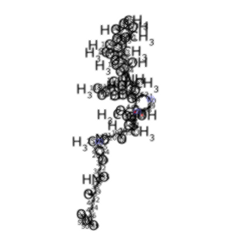 COC(=O)CC1=C2/C(=C/CSSC(C)(C)CCC(=O)CCCO/N=C(/C)c3ccc(OCCCC(=O)NCCCC(=O)CCCCCN4C(=O)C=CC4=O)cc3)[C@](O)(C#C/C=C\C#C[C@@H]2OC2OC(C)C(NOC3CC(O)C(SC(=O)c4c(C)c(I)c(OC5OC(C)C(O)C(OC)C5O)c(C)c4OC)C(C)O3)C(O)C2OC2CC(C)C(CC(C)=O)CO2)CC1=O